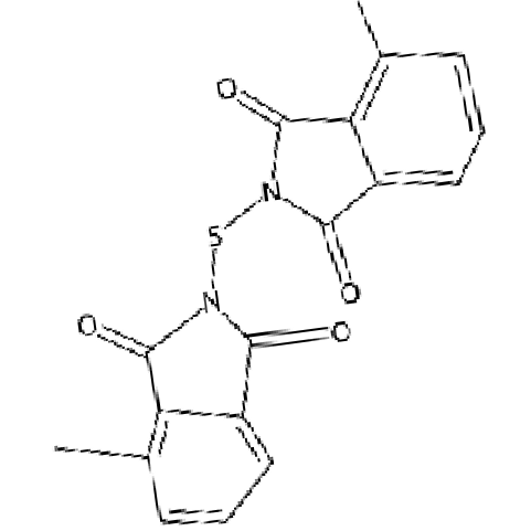 Cc1cccc2c1C(=O)N(SN1C(=O)c3cccc(C)c3C1=O)C2=O